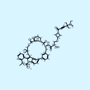 CO[C@@H](C)c1ncccc1-c1c2c3cc(ccc3n1CC(F)(F)F)-c1cccc(c1)CN(NC(=O)[C@@H](COC1CN(C(=O)C#CC(C)(C)N(C)C)C1)C(C)C)C(=O)N1CCC[C@H](N1)C(=O)OCC(C)(C)C2